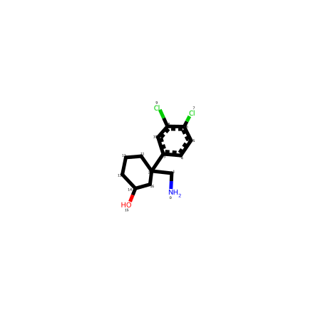 NCC1(c2ccc(Cl)c(Cl)c2)CCCC(O)C1